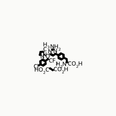 Cc1ccn(-c2cc(Cl)ccc2[C@@H](Oc2cc(-c3ccc(CC(N)C(=O)O)cc3)nc(N)n2)C(F)(F)F)n1.O=C(O)CCC(=O)O